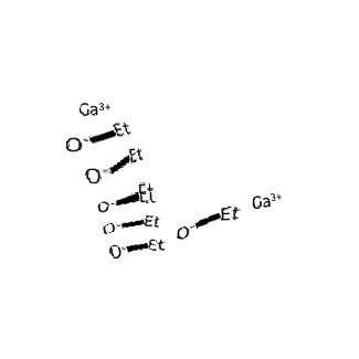 CC[O-].CC[O-].CC[O-].CC[O-].CC[O-].CC[O-].[Ga+3].[Ga+3]